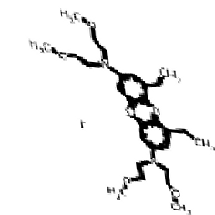 CCc1cc(N(CCOC)CCOC)cc2[s+]c3cc(N(CCOC)CCOC)cc(CC)c3nc12.[I-]